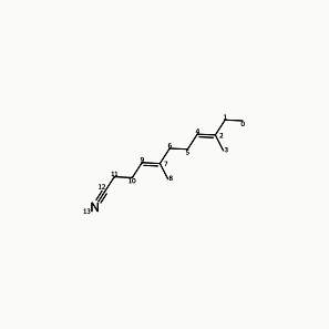 CC/C(C)=C/CC/C(C)=C/CCC#N